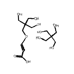 O=C(O)C=COCC(CO)(CO)CO.OCC(CO)(CO)CO